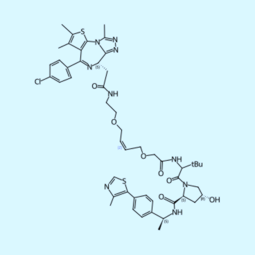 Cc1ncsc1-c1ccc([C@H](C)NC(=O)[C@@H]2C[C@@H](O)CN2C(=O)C(NC(=O)COC/C=C\COCCNC(=O)C[C@@H]2N=C(c3ccc(Cl)cc3)c3c(sc(C)c3C)-n3c(C)nnc32)C(C)(C)C)cc1